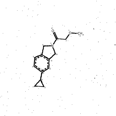 COCC(=O)N1Cc2ccc(C3CC3)cc2C1